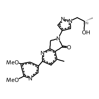 COc1cc(-c2cc(C)c3c(n2)CN(c2cnn(C[C@H](C)O)c2)C3=O)cnc1OC